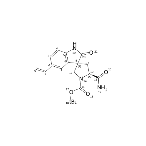 C=Cc1ccc2c(c1)[C@@]1(C[C@@H](C(N)=O)N(C(=O)OC(C)(C)C)C1)C(=O)N2